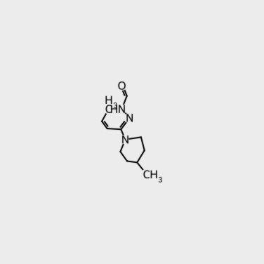 C/C=C\C(=N/NC=O)N1CCC(C)CC1